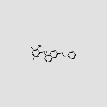 Cc1cc(C)c([N+](=O)[O-])c(Nc2cccc3cc(OCc4ccccc4)ccc23)n1